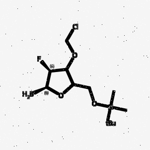 B[C@@H]1OC(CO[Si](C)(C)C(C)(C)C)C(OCCl)[C@@H]1F